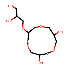 OCC(O)COC1COCC(O)COCC(O)COC1